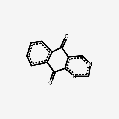 O=C1c2ccccc2C(=O)c2ncncc21